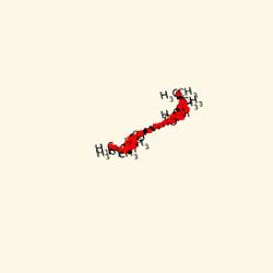 CC(C)CCC[C@@H](C)[C@H]1CC[C@H]2[C@@H]3CC=C4C[C@@H](OC(=O)CCCCCCCCCCCCC(=O)O[C@H]5CC[C@@]6(C)C(=CC[C@H]7[C@@H]8CC[C@H]([C@H](C)CCCC(C)C)[C@@]8(C)CC[C@@H]76)C5)CC[C@]4(C)[C@H]3CC[C@]12C